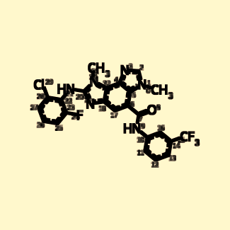 Cn1cnc2c1c(C(=O)Nc1cccc(C(F)(F)F)c1)cc1nc(Nc3c(F)cccc3Cl)n(C)c12